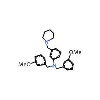 COc1cccc(CN(Cc2cccc(OC)c2)c2cccc(CN3CCCCC3)c2)c1